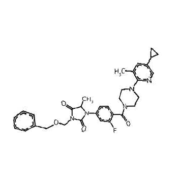 Cc1cc(C2CC2)cnc1N1CCN(C(=O)c2ccc(N3C(=O)N(COCc4ccccc4)C(=O)C3C)cc2F)CC1